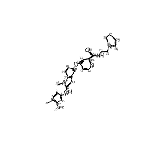 Cc1ccc(Nc2nc3cc(Oc4ccnc(C(=O)NCCN5CCCC5)c4)ccc3n2C)cc1C(C)C